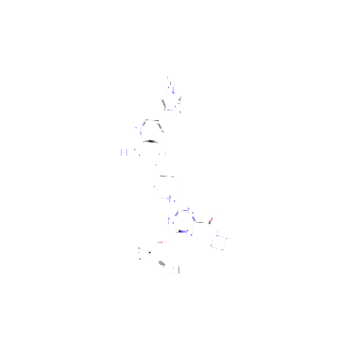 C#CC1(COc2nc(C(=O)N3CCC3)nc(N3CCC(COc4cc(-c5cn(C)cn5)cnc4N)CC3)n2)CC1